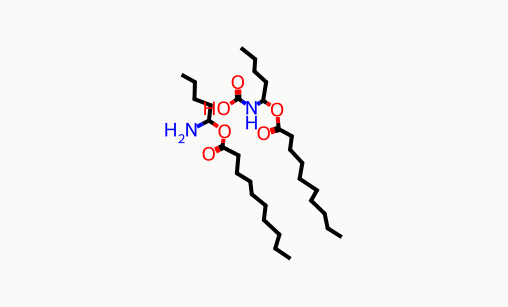 CCCCCCCCCC(=O)OC(CCCC)NC(=O)O.CCCCCCCCCC(=O)OC(N)CCCC